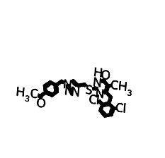 CC(=O)c1ccc(Cn2cc(CSc3nc(Cc4c(Cl)cccc4Cl)c(C)c(=O)[nH]3)nn2)cc1